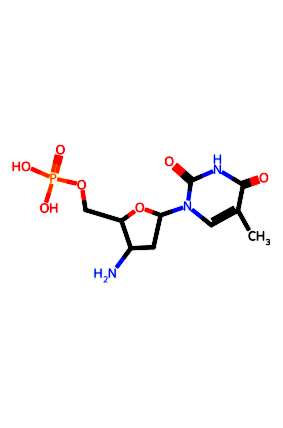 Cc1cn(C2CC(N)C(COP(=O)(O)O)O2)c(=O)[nH]c1=O